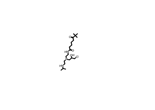 CC(C)NCCN(CCNC(=O)CCCCC(=O)C(C)(C)C)CC(O)CCl